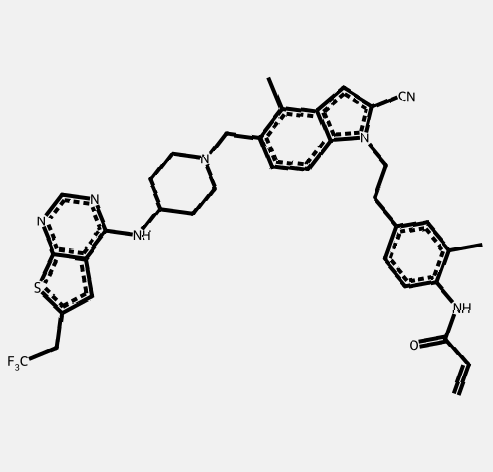 C=CC(=O)Nc1ccc(CCn2c(C#N)cc3c(C)c(CN4CCC(Nc5ncnc6sc(CC(F)(F)F)cc56)CC4)ccc32)cc1C